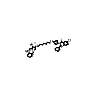 COC1=C2C=[N+]([O-])C3=CCCC[C@@H]3CN2CC1OCCCCCCCOc1ccc(-n2c(-c3ccccc3)nc3ccc(Cl)cc3c2=O)cc1